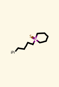 CC(C)CCCCP1(=S)CCCCC1